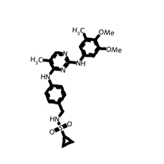 COc1cc(Nc2ncc(C)c(Nc3ccc(CNS(=O)(=O)C4CC4)cc3)n2)cc(C)c1OC